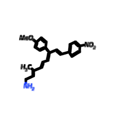 COc1ccc(C(=C\C=C\C(C)=C\CN)/C=C/c2ccc([N+](=O)[O-])cc2)cc1